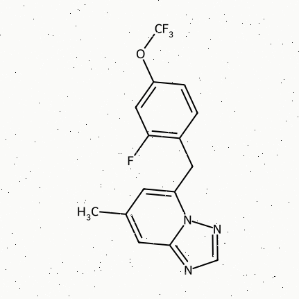 Cc1cc(Cc2ccc(OC(F)(F)F)cc2F)n2ncnc2c1